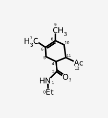 CCNC(=O)C1CC(C)=C(C)CC1C(C)=O